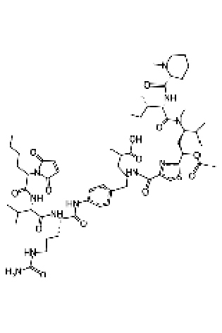 CCCCC(C(=O)N[C@H](C(=O)N[C@@H](CCCNC(N)=O)C(=O)Nc1ccc(C[C@@H](CC(C)C(=O)O)NC(=O)c2csc([C@@H](C[C@H](C(C)C)N(C)C(=O)[C@@H](NC(=O)[C@H]3CCCCN3C)[C@@H](C)CC)OC(C)=O)n2)cc1)C(C)C)N1C(=O)C=CC1=O